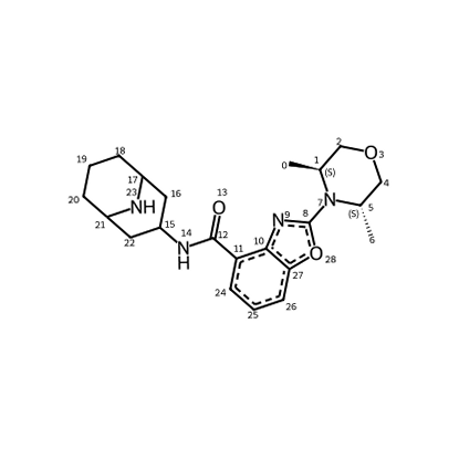 C[C@H]1COC[C@H](C)N1c1nc2c(C(=O)NC3CC4CCCC(C3)N4)cccc2o1